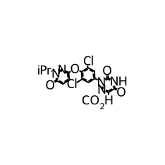 CC(C)n1nc(Oc2c(Cl)cc(-n3nc(C(=O)O)c(=O)[nH]c3=O)cc2Cl)ccc1=O